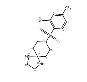 O=S(=O)(c1ccc(C(F)(F)F)cc1Br)N1CCC2(CC1)NCCN2